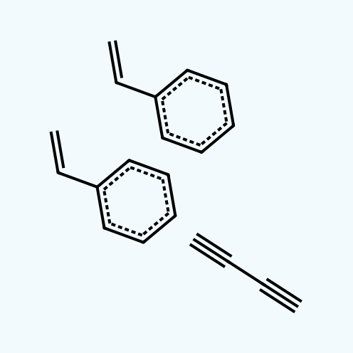 C#CC#C.C=Cc1ccccc1.C=Cc1ccccc1